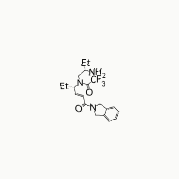 CC[C@H](N)CN(C(=O)C(F)(F)F)[C@H](/C=C/C(=O)N1Cc2ccccc2C1)CC